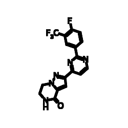 O=C1NCCn2nc(-c3ccnc(-c4ccc(F)c(C(F)(F)F)c4)n3)cc21